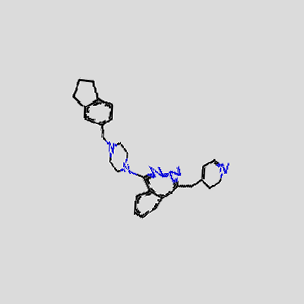 C1=NCCC(Cc2nnc(N3CCN(Cc4ccc5c(c4)CCC5)CC3)c3ccccc23)=C1